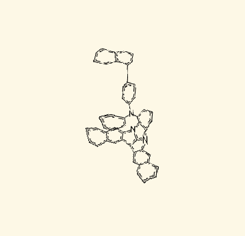 c1ccc(N(c2ccc(-c3cccc4ccccc34)cc2)c2cccc3c2n2c4cc5ccccc5cc4c4c5cc6ccccc6cc5n3c42)cc1